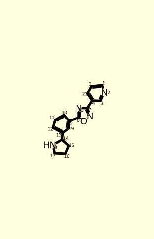 c1cncc(-c2noc(-c3cccc(C4CCCN4)c3)n2)c1